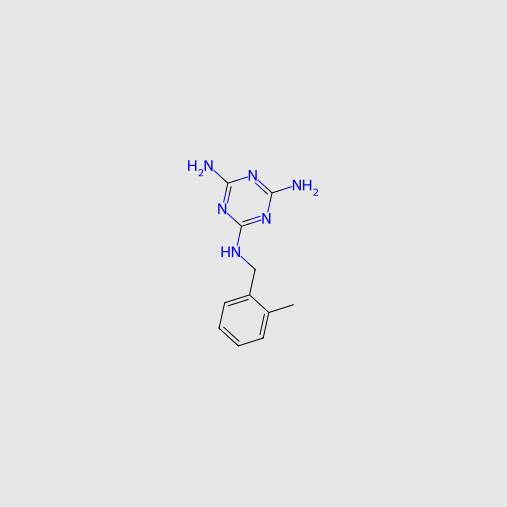 Cc1ccccc1CNc1nc(N)nc(N)n1